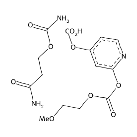 COCCOC(=O)Oc1cc(OC(=O)O)ccn1.NC(=O)CCOC(N)=O